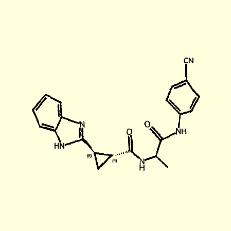 CC(NC(=O)[C@@H]1C[C@H]1c1nc2ccccc2[nH]1)C(=O)Nc1ccc(C#N)cc1